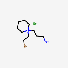 NCCC[N+]1(CCS)CCCCC1.[Br-]